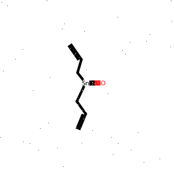 C=C[CH2][Sn](=[O])[CH2]C=C